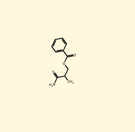 CC(COC(=O)c1ccccc1)C(N)=S